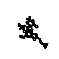 CC(C)(C)OC(=O)N[C@@H](CS(C)(=O)=O)[C@@]1(Cc2nccc3oc(CCC4CC4)cc23)OC(C)(C)OC1=O